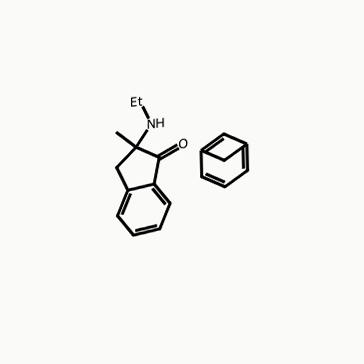 CCNC1(C)Cc2ccccc2C1=O.c1cc2cc(c1)C2